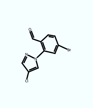 O=Cc1ccc(Br)cc1-n1cc(Cl)cn1